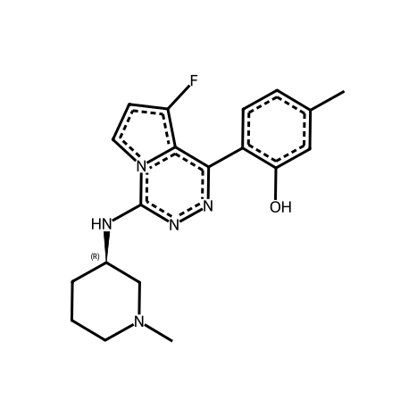 Cc1ccc(-c2nnc(N[C@@H]3CCCN(C)C3)n3ccc(F)c23)c(O)c1